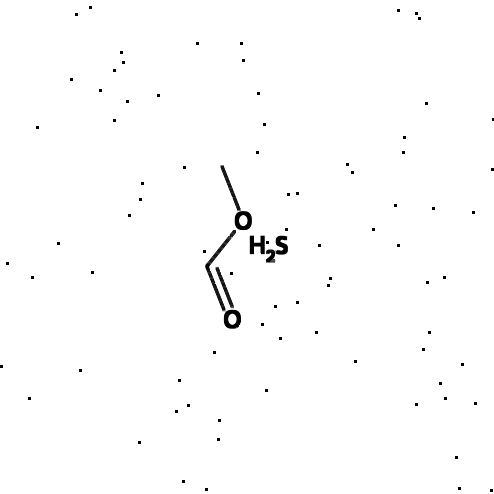 COC=O.S